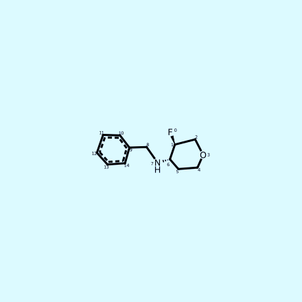 F[C@H]1COCC[C@@H]1NCc1ccccc1